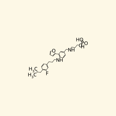 CC(C)Cc1ccc(CCCNc2ccc(CNCCCO[PH](=O)O)cc2-c2ccco2)cc1F